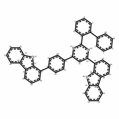 c1ccc(-c2ccccc2-c2nc(-c3ccc(-c4cccc5c4oc4ccccc45)cc3)cc(-c3cccc4c3sc3ccccc34)n2)cc1